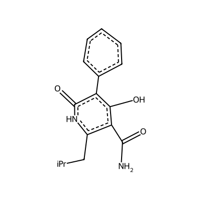 CC(C)Cc1[nH]c(=O)c(-c2ccccc2)c(O)c1C(N)=O